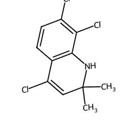 CC1(C)C=C(Cl)c2ccc(Cl)c(Cl)c2N1